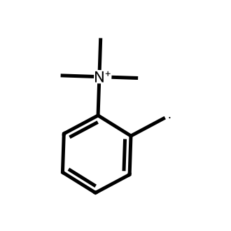 [CH2]c1ccccc1[N+](C)(C)C